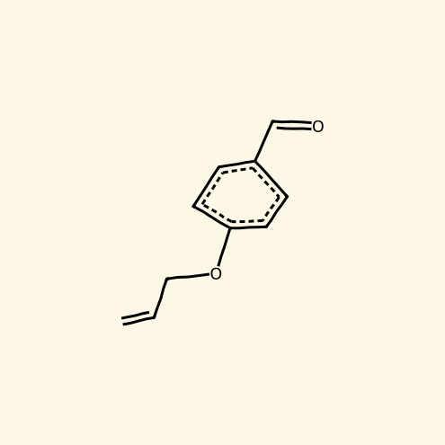 C=CCOc1ccc(C=O)cc1